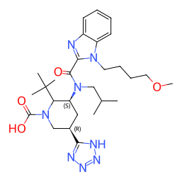 COCCCCn1c(C(=O)N(CC(C)C)[C@H]2C[C@@H](c3nnn[nH]3)CN(C(=O)O)C2C(C)(C)C)nc2ccccc21